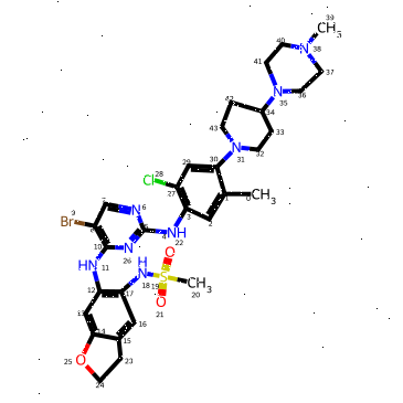 Cc1cc(Nc2ncc(Br)c(Nc3cc4c(cc3NS(C)(=O)=O)CCO4)n2)c(Cl)cc1N1CCC(N2CCN(C)CC2)CC1